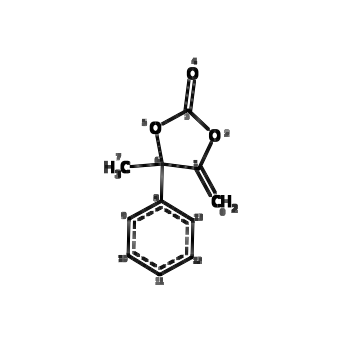 C=C1OC(=O)OC1(C)c1ccccc1